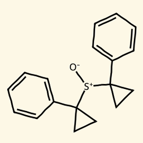 [O-][S+](C1(c2ccccc2)CC1)C1(c2ccccc2)CC1